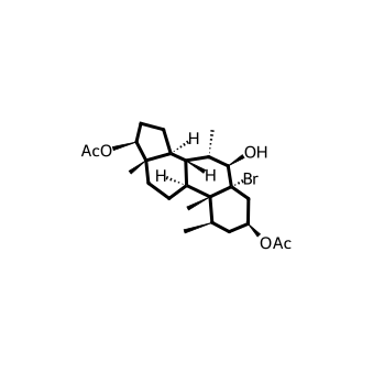 CC(=O)O[C@H]1C[C@@H](C)[C@]2(C)[C@H]3CC[C@]4(C)[C@@H](OC(C)=O)CC[C@H]4[C@@H]3[C@H](C)[C@@H](O)[C@@]2(Br)C1